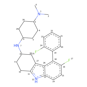 CN(C)C1CCC(NC2CCc3[nH]c4ccc(F)c(-c5ccccc5F)c4c3C2)CC1